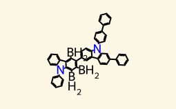 Bc1c(-c2ccc3c(c2)c2ccc(-c4ccccc4)cc2n3-c2ccc(-c3ccccc3)cc2)c(B)c2c3ccccc3n(-c3ccccc3)c2c1B